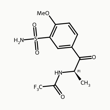 COc1ccc(C(=O)[C@@H](C)NC(=O)C(F)(F)F)cc1S(N)(=O)=O